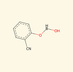 N#Cc1ccccc1OBO